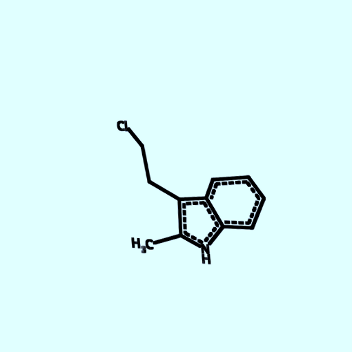 Cc1[nH]c2ccccc2c1CCCl